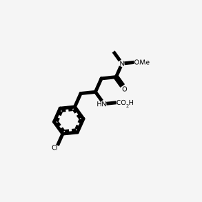 CON(C)C(=O)CC(Cc1ccc(Cl)cc1)NC(=O)O